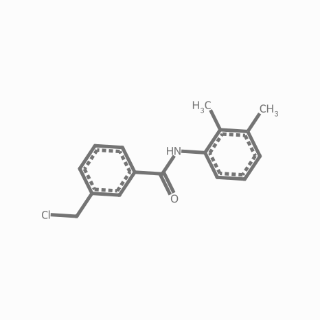 Cc1cccc(NC(=O)c2cccc(CCl)c2)c1C